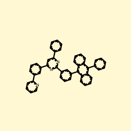 c1ccc(-c2cc(-c3cccc(-c4ccccn4)c3)nc(-c3cccc(-c4c5ccccc5c(-c5ccccc5)c5ccccc45)c3)n2)cc1